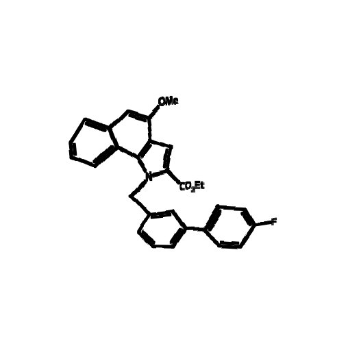 CCOC(=O)c1cc2c(OC)cc3ccccc3c2n1Cc1cccc(-c2ccc(F)cc2)c1